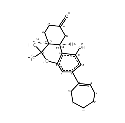 CC1(C)Oc2cc(C3=CCCCCC3)cc(O)c2[C@@H]2CC(=O)CC[C@@H]21